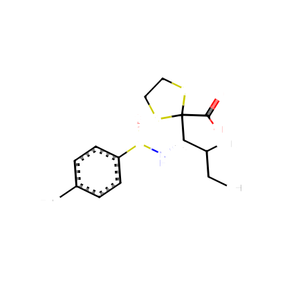 CCC(C)[C@H](N[S@@+]([O-])c1ccc(C)cc1)C1(C(=O)O)SCCS1